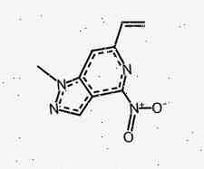 C=Cc1cc2c(cnn2C)c([N+](=O)[O-])n1